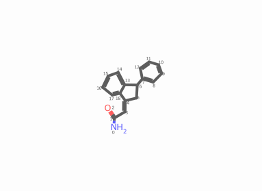 NC(=O)/C=C1/CC(c2ccccc2)c2ccccc21